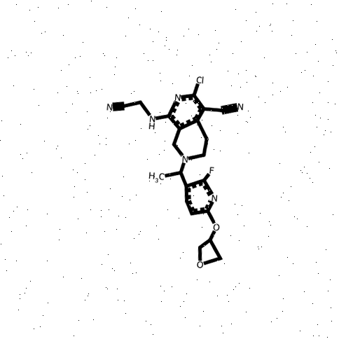 CC(c1ccc(OC2COC2)nc1F)N1CCc2c(C#N)c(Cl)nc(NCC#N)c2C1